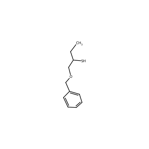 CCC(S)COCc1ccccc1